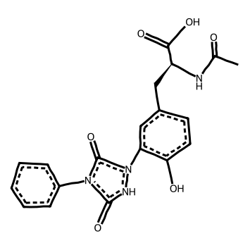 CC(=O)N[C@@H](Cc1ccc(O)c(-n2[nH]c(=O)n(-c3ccccc3)c2=O)c1)C(=O)O